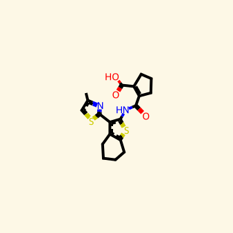 Cc1csc(-c2c(NC(=O)C3=C(C(=O)O)CCC3)sc3c2CCCC3)n1